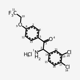 Cl.NC(C(=O)c1ccc(OCC(F)(F)F)cc1)c1ccc(Cl)c(Cl)c1